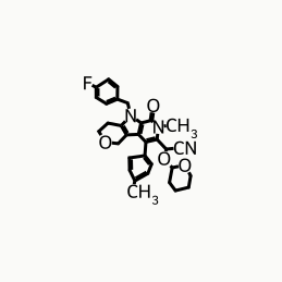 Cc1ccc(-c2c(C(C#N)OC3CCCCO3)n(C)c(=O)c3c2c2c(n3Cc3ccc(F)cc3)CCOC2)cc1